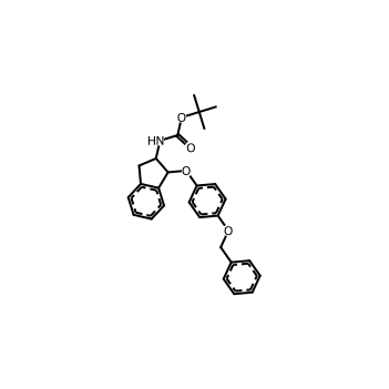 CC(C)(C)OC(=O)NC1Cc2ccccc2C1Oc1ccc(OCc2ccccc2)cc1